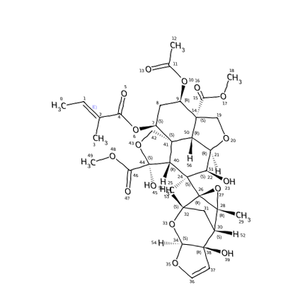 C/C=C(\C)C(=O)O[C@H]1C[C@@H](OC(C)=O)[C@@]2(C(=O)OC)CO[C@H]3[C@@H](O)[C@@](C)([C@]45O[C@]4(C)[C@H]4C[C@@H]5O[C@@H]5OC=C[C@]54O)[C@H]4[C@]1(CO[C@]4(O)C(=O)OC)[C@@H]32